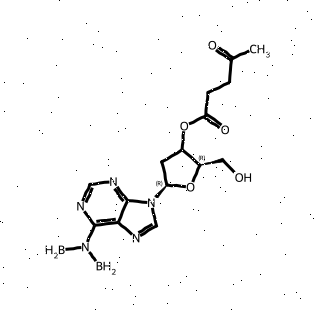 BN(B)c1ncnc2c1ncn2[C@H]1CC(OC(=O)CCC(C)=O)[C@@H](CO)O1